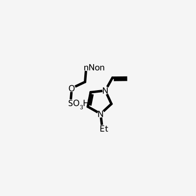 C=CN1C=CN(CC)C1.CCCCCCCCCCOS(=O)(=O)O